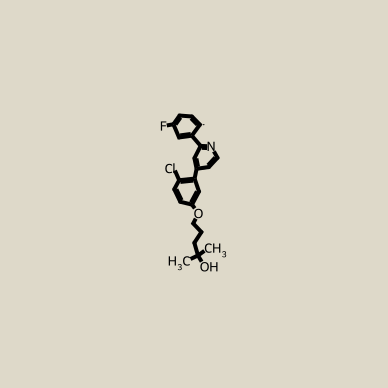 CC(C)(O)CCCOc1ccc(Cl)c(-c2ccnc(-c3[c]ccc(F)c3)c2)c1